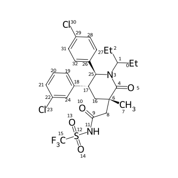 CCC(CC)N1C(=O)[C@](C)(CC(=O)NS(=O)(=O)C(F)(F)F)C[C@H](c2cccc(Cl)c2)[C@H]1c1ccc(Cl)cc1